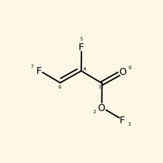 O=C(OF)C(F)=CF